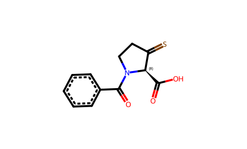 O=C(O)[C@@H]1C(=S)CCN1C(=O)c1ccccc1